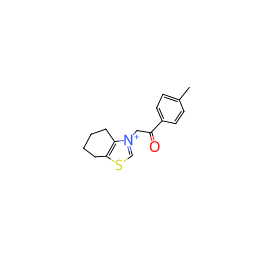 Cc1ccc(C(=O)C[n+]2csc3c2CCCC3)cc1